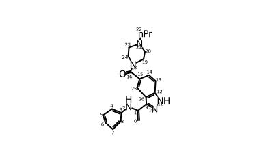 C=C(Nc1ccccc1)c1n[nH]c2ccc(C(=O)N3CCN(CCC)CC3)cc12